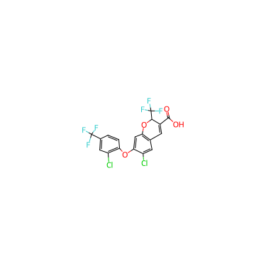 O=C(O)C1=Cc2cc(Cl)c(Oc3ccc(C(F)(F)F)cc3Cl)cc2OC1C(F)(F)F